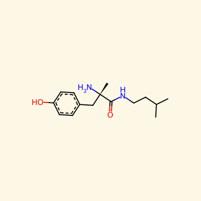 CC(C)CCNC(=O)[C@@](C)(N)Cc1ccc(O)cc1